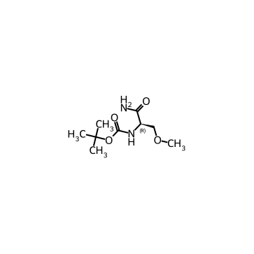 COC[C@@H](NC(=O)OC(C)(C)C)C(N)=O